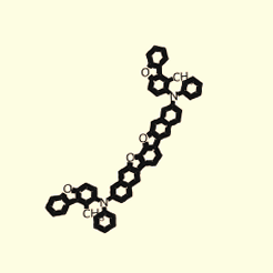 Cc1c(N(c2ccccc2)c2ccc3cc4c(cc3c2)oc2c4ccc3c4cc5ccc(N(c6ccccc6)c6ccc7oc8ccccc8c7c6C)cc5cc4oc32)ccc2oc3ccccc3c12